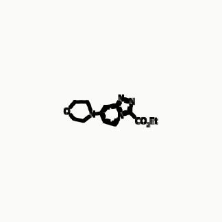 CCOC(=O)c1nnc2cc(N3CCOCC3)ccn12